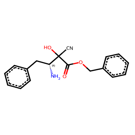 N#CC(O)(C(=O)OCc1ccccc1)[C@H](N)Cc1ccccc1